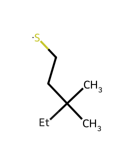 CCC(C)(C)CC[S]